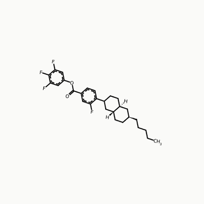 CCCCC[C@H]1CC[C@@H]2CC(c3ccc(C(=O)Oc4cc(F)c(F)c(F)c4)cc3F)CC[C@H]2C1